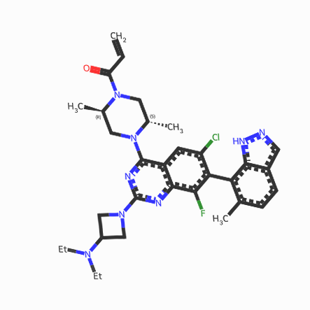 C=CC(=O)N1C[C@H](C)N(c2nc(N3CC(N(CC)CC)C3)nc3c(F)c(-c4c(C)ccc5cn[nH]c45)c(Cl)cc23)C[C@H]1C